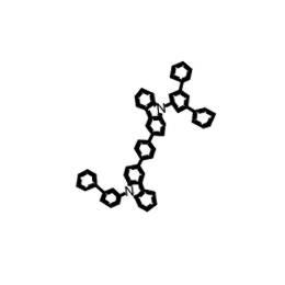 c1ccc(-c2cccc(-n3c4ccccc4c4cc(-c5ccc(-c6ccc7c(c6)c6ccccc6n7-c6cc(-c7ccccc7)cc(-c7ccccc7)c6)cc5)ccc43)c2)cc1